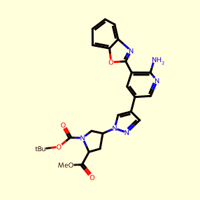 COC(=O)C1CC(n2cc(-c3cnc(N)c(-c4nc5ccccc5o4)c3)cn2)CN1C(=O)OC(C)(C)C